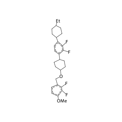 CCC1CCC(c2ccc(C3CCC(OCc4ccc(OC)c(F)c4F)CC3)c(F)c2F)CC1